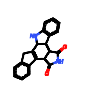 O=C1NC(=O)C2C1C1=C(Cc3ccccc31)C1Nc3ccccc3C12